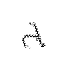 CCCCC/C=C\C/C=C\CCCCCCCC(CCCCCCCCCC)OC(=O)OCCCN1CCCC1